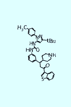 Cc1ccc(-n2nc(C(C)(C)C)cc2NC(=O)Nc2cccc(C(CC(=O)c3csc4ccccc34)C3CCNCC3)c2)cc1